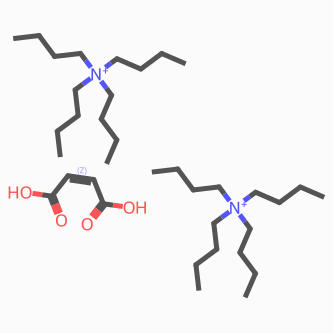 CCCC[N+](CCCC)(CCCC)CCCC.CCCC[N+](CCCC)(CCCC)CCCC.O=C(O)/C=C\C(=O)O